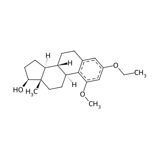 CCOc1cc2c(c(OC)c1)[C@H]1CC[C@]3(C)[C@@H](O)CC[C@H]3[C@@H]1CC2